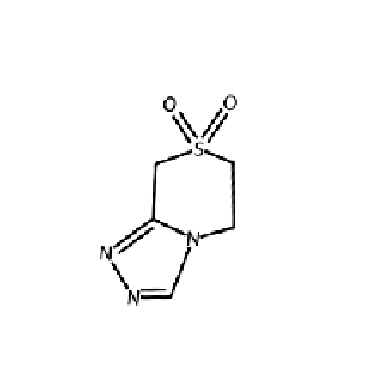 O=S1(=O)CCn2cnnc2C1